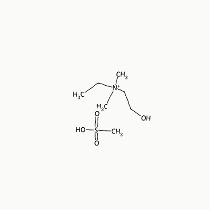 CC[N+](C)(C)CCO.CS(=O)(=O)O